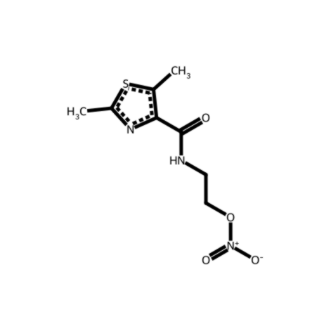 Cc1nc(C(=O)NCCO[N+](=O)[O-])c(C)s1